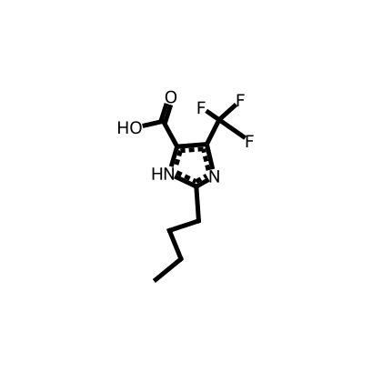 CCCCc1nc(C(F)(F)F)c(C(=O)O)[nH]1